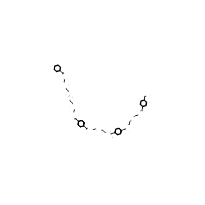 O=Cc1ccc(C(=O)OCCOCCOC(=O)c2ccc(C(=O)OCCOCCOC(=O)c3ccc(C(=O)OCCOCCOOCCOCCOC(=O)c4ccccc4)cc3)cc2)cc1